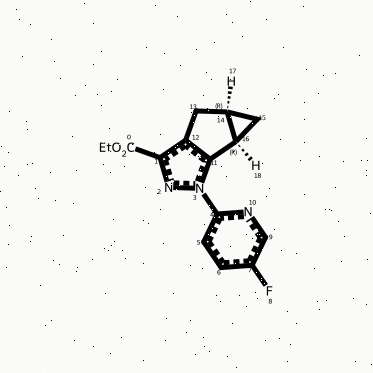 CCOC(=O)c1nn(-c2ccc(F)cn2)c2c1C[C@H]1C[C@@H]21